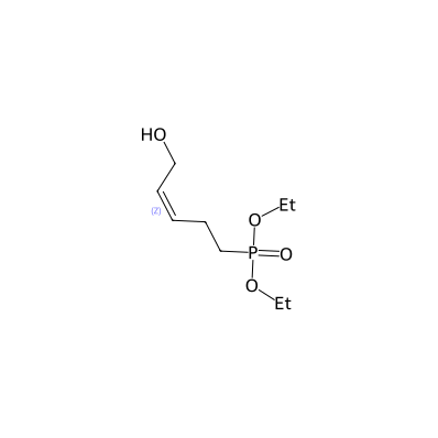 CCOP(=O)(CC/C=C\CO)OCC